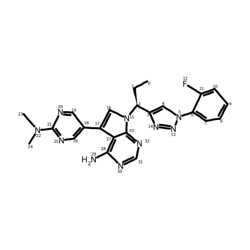 CC[C@@H](c1cn(-c2ccccc2F)nn1)n1cc(-c2cnc(N(C)C)nc2)c2c(N)ncnc21